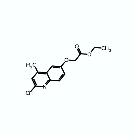 CCOC(=O)COc1ccc2nc(Cl)cc(C)c2c1